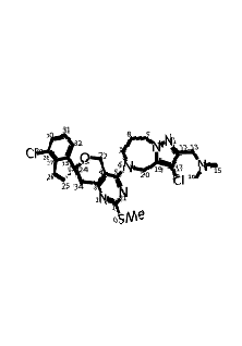 CSc1nc2c(c(N3CCCn4nc(CN(C)C)c(Cl)c4C3)n1)CO[C@@]1(CCc3c(Cl)cccc31)C2